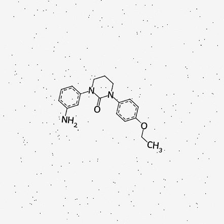 CCOc1ccc(N2CCCN(c3cccc(N)c3)C2=O)cc1